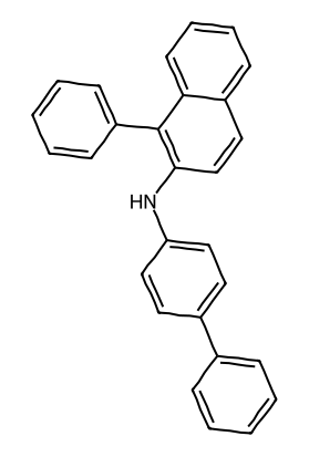 c1ccc(-c2ccc(Nc3ccc4ccccc4c3-c3ccccc3)cc2)cc1